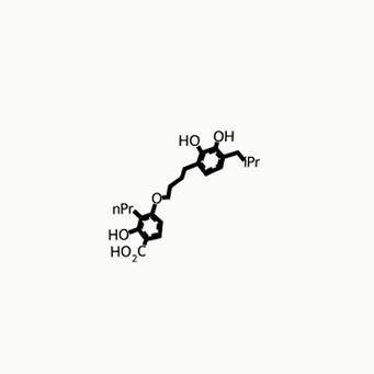 CCCc1c(OCCCCc2ccc(CC(C)C)c(O)c2O)ccc(C(=O)O)c1O